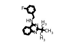 CC(C)(C)c1nc(NCc2cccc(F)c2)c2ccccc2n1